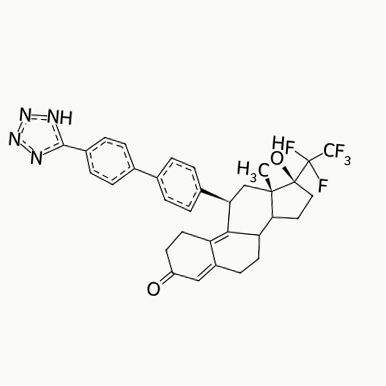 C[C@]12C[C@H](c3ccc(-c4ccc(-c5nnn[nH]5)cc4)cc3)C3=C4CCC(=O)C=C4CCC3C1CC[C@@]2(O)C(F)(F)C(F)(F)F